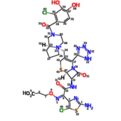 Nc1nc(/C(=N/OCCC(=O)O)C(=O)N[C@@H]2C(=O)N3C(c4nnn[nH]4)=C(C[N@+]45CCC[C@H]4CN(C(=O)c4ccc(O)c(O)c4Cl)CC5)CS[C@H]23)c(Cl)s1